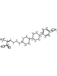 CC(=CCCCC1CCC(C2CCC(c3ccc(C)cc3)CC2)CC1)C(=O)O